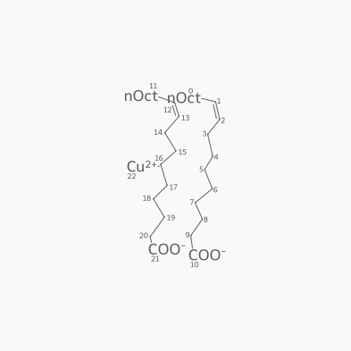 CCCCCCCC/C=C\CCCCCCCC(=O)[O-].CCCCCCCC/C=C\CCCCCCCC(=O)[O-].[Cu+2]